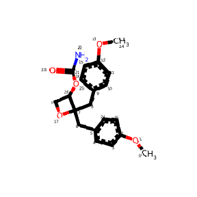 COc1ccc(CC2(Cc3ccc(OC)cc3)OCC2OC(N)=O)cc1